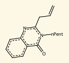 C=CCc1nc2ccccc2c(=O)n1CCCCC